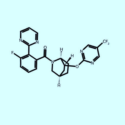 O=C(c1cccc(F)c1-c1ncccn1)N1C[C@@H]2CC[C@H]1[C@H](Oc1ncc(C(F)(F)F)cn1)C2